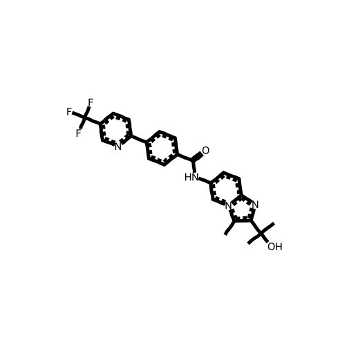 Cc1c(C(C)(C)O)nc2ccc(NC(=O)c3ccc(-c4ccc(C(F)(F)F)cn4)cc3)cn12